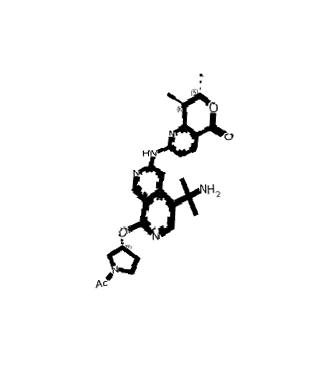 CC(=O)N1CC[C@@H](Oc2ncc(C(C)(C)N)c3cc(Nc4ccc5c(n4)[C@@H](C)[C@H](C)OC5=O)ncc23)C1